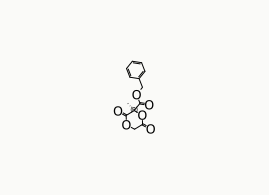 C[C@]1(C(=O)OCc2ccccc2)OC(=O)COC1=O